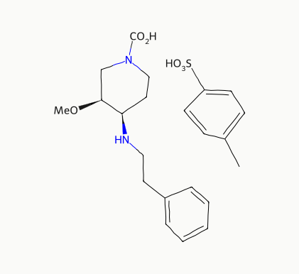 CO[C@H]1CN(C(=O)O)CC[C@H]1NCCc1ccccc1.Cc1ccc(S(=O)(=O)O)cc1